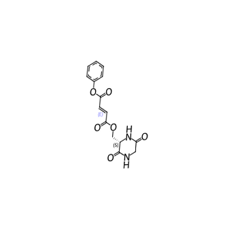 O=C1CNC(=O)[C@H](COC(=O)/C=C/C(=O)Oc2ccccc2)N1